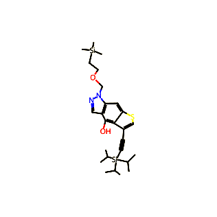 CC(C)[Si](C#Cc1csc2cc3c(cnn3COCC[Si](C)(C)C)c(O)c12)(C(C)C)C(C)C